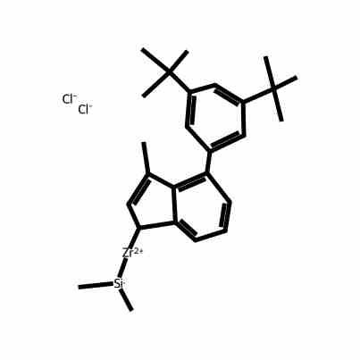 CC1=C[CH]([Zr+2][Si](C)C)c2cccc(-c3cc(C(C)(C)C)cc(C(C)(C)C)c3)c21.[Cl-].[Cl-]